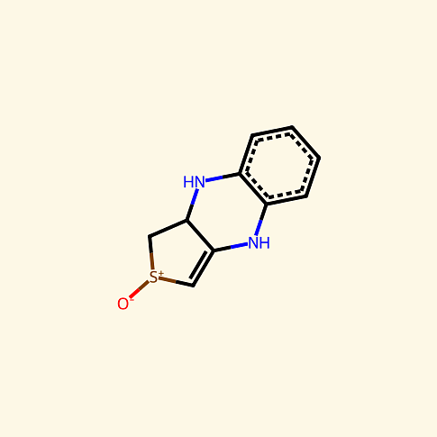 [O-][S+]1C=C2Nc3ccccc3NC2C1